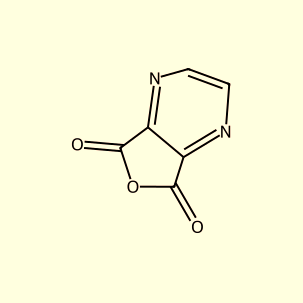 O=C1OC(=O)c2nccnc21